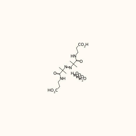 CC(C)(/N=N/C(C)(C)C(=O)NCCC(=O)O)C(=O)NCCC(=O)O.O.O.O.O